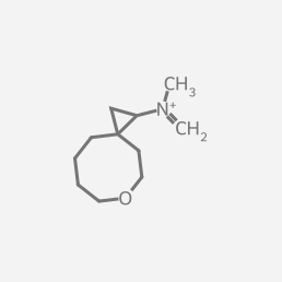 C=[N+](C)C1CC12CCCCOCC2